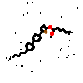 CCCC=CC(=O)Oc1ccc(-c2ccc(-c3ccc(CCCCC)cc3)cc2)s1